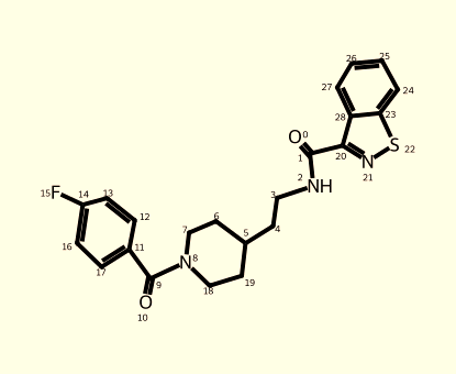 O=C(NCCC1CCN(C(=O)c2ccc(F)cc2)CC1)c1nsc2ccccc12